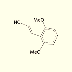 COc1cccc(OC)c1C=CC#N